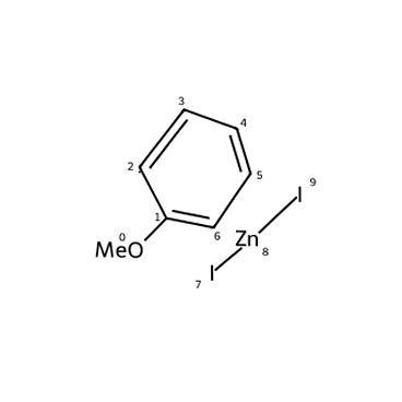 COc1[c]cccc1.[I][Zn][I]